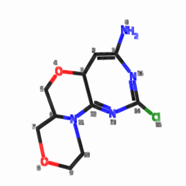 NC1=CC2OCC3COCCN3C2=NC(Cl)=N1